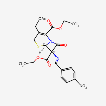 CC(=O)OCC1=C(C(=O)OCC(Cl)(Cl)Cl)N2C(=O)[C@](N=Cc3ccc([N+](=O)[O-])cc3)(C(=O)OCC(Cl)(Cl)Cl)[C@H]2SC1